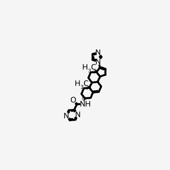 C[C@]12CC[C@H](NC(=O)c3cnccn3)CC1=CCC1C2CC[C@]2(C)C(n3ccnc3)=CCC12